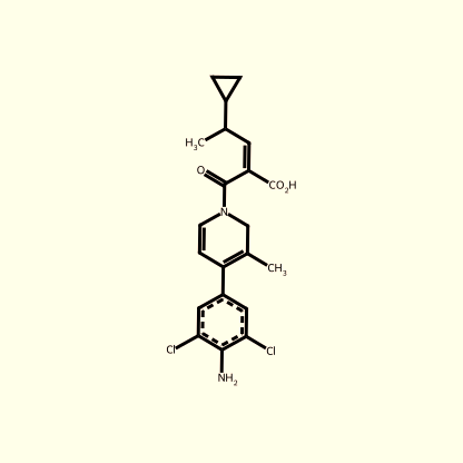 CC1=C(c2cc(Cl)c(N)c(Cl)c2)C=CN(C(=O)/C(=C\C(C)C2CC2)C(=O)O)C1